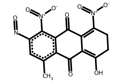 Cc1cc(N=O)c([N+](=O)[O-])c2c1C(=O)C1=C(O)CCC([N+](=O)[O-])=C1C2=O